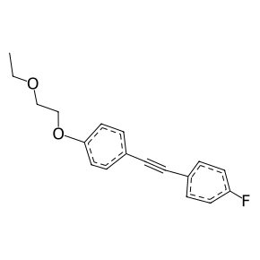 CCOCCOc1ccc(C#Cc2ccc(F)cc2)cc1